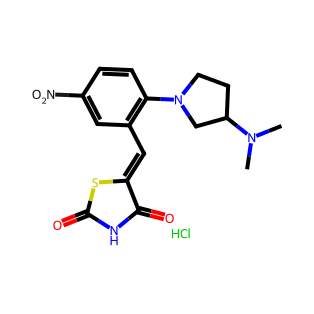 CN(C)C1CCN(c2ccc([N+](=O)[O-])cc2/C=C2\SC(=O)NC2=O)C1.Cl